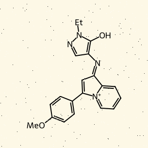 CCn1ncc(/N=C2\C=C(c3ccc(OC)cc3)[n+]3ccccc32)c1O